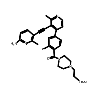 COCCN1CCN(C(=O)c2ccc(-c3ccnc(C)c3C#Cc3ccc(N)nc3C)cc2F)CC1